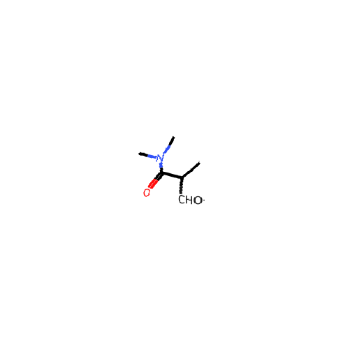 CC([C]=O)C(=O)N(C)C